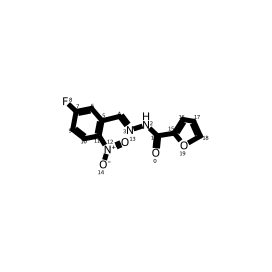 O=C(NN=Cc1cc(F)ccc1[N+](=O)[O-])c1ccco1